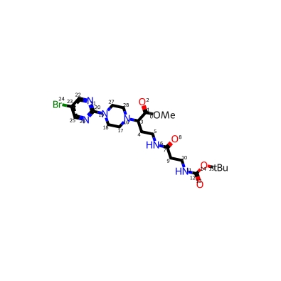 COC(=O)C(CCNC(=O)CCNC(=O)OC(C)(C)C)N1CCN(c2ncc(Br)cn2)CC1